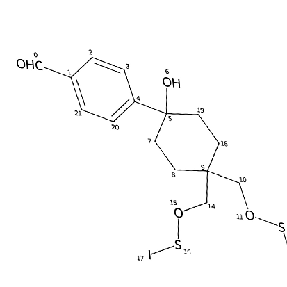 O=Cc1ccc(C2(O)CCC(COSI)(COSI)CC2)cc1